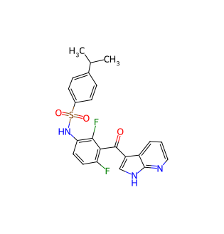 CC(C)c1ccc(S(=O)(=O)Nc2ccc(F)c(C(=O)c3c[nH]c4ncccc34)c2F)cc1